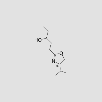 CCC(O)CCC1=N[C@@H](C(C)C)CO1